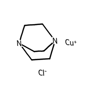 C1CN2CCN1CC2.[Cl-].[Cu+]